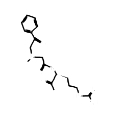 CC(=O)[C@H](CCCNC(=N)N)NC(=O)CN(C)CC(=O)c1ccccc1